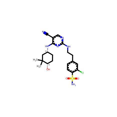 CC1(C)C[C@H](Nc2nc(NCCc3ccc(S(N)(=O)=O)c(Cl)c3)ncc2C#N)CC[C@@H]1O